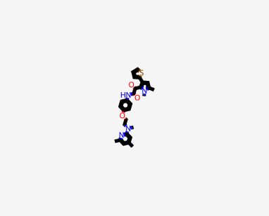 Cc1cc(C)nc(N(C)CCOc2ccc(NC(=O)C(=O)c3c(-c4cccs4)cc(C)n3C)cc2)c1